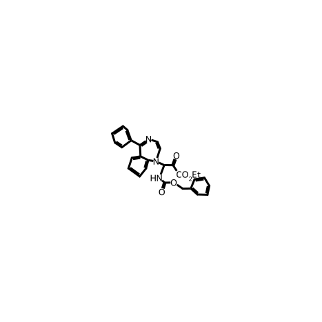 CCOC(=O)C(=O)C(NC(=O)OCc1ccccc1)N1C=CN=C(c2ccccc2)c2ccccc21